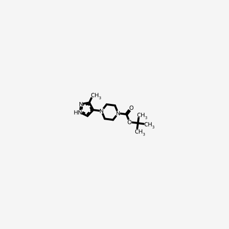 Cc1n[nH]cc1N1CCN(C(=O)OC(C)(C)C)CC1